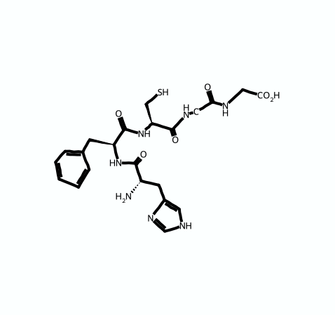 N[C@@H](Cc1c[nH]cn1)C(=O)N[C@@H](Cc1ccccc1)C(=O)N[C@@H](CS)C(=O)NCC(=O)NCC(=O)O